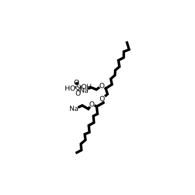 CCCCCCCCCCC(COCC(CCCCCCCCCC)OC[CH2][Na])OC[CH2][Na].O=S(=O)(O)O